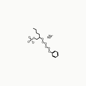 CCCCC(COP(=O)([O-])[O-])OOOOOOc1ccccc1.[Na+].[Na+]